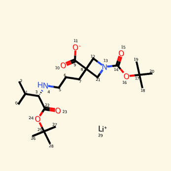 CC(C)[C@H](NCCCC1(C(=O)[O-])CN(C(=O)OC(C)(C)C)C1)C(=O)OC(C)(C)C.[Li+]